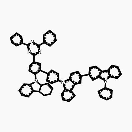 C1=CC2C(CC1)c1ccccc1N2c1ccc(-c2nc(-c3ccccc3)nc(-c3ccccc3)n2)cc1-c1ccc(-n2c3ccccc3c3cc(-c4ccc5c6ccccc6n(-c6ccccc6)c5c4)ccc32)cc1